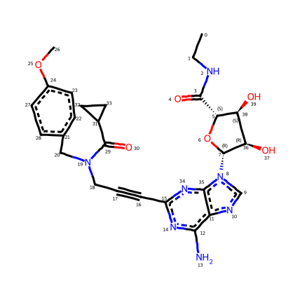 CCNC(=O)[C@H]1O[C@@H](n2cnc3c(N)nc(C#CCN(Cc4ccc(OC)cc4)C(=O)C4CC4)nc32)[C@H](O)[C@@H]1O